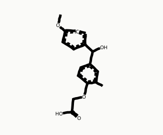 COc1ccc(C(O)c2ccc(OCC(=O)O)c(C)c2)cc1